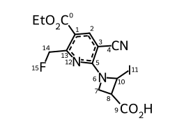 CCOC(=O)c1cc(C#N)c(N2CC(C(=O)O)C2I)nc1CF